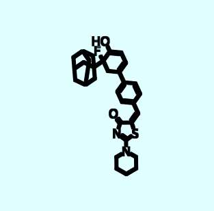 O=C1N=C(N2CCCCC2)SC1=Cc1ccc(C2=CC=C(O)C(F)(C34CC5CC(CC(C5)C3)C4)C2)cc1